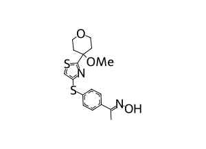 COC1(c2nc(Sc3ccc(C(C)=NO)cc3)cs2)CCOCC1